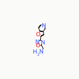 NCc1nc(-c2cc3cnccc3o2)no1